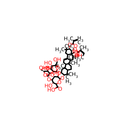 C/C=C(/C)C(=O)O[C@H]1[C@H](OC(=O)/C(C)=C\C)C2(CO)C(CC1(C)C)C1=CCC3[C@@]4(C)CC[C@H](O[C@@H]5OC(C(=O)O)[C@@H](O)C(O[C@@H]6O[C@@H](CO)C(O)C6O)CC5O[C@@H]5OC(CO)[C@H](O)C(O)C5O)C(C)(C)C4CC[C@@]3(C)[C@]1(C)C[C@H]2O